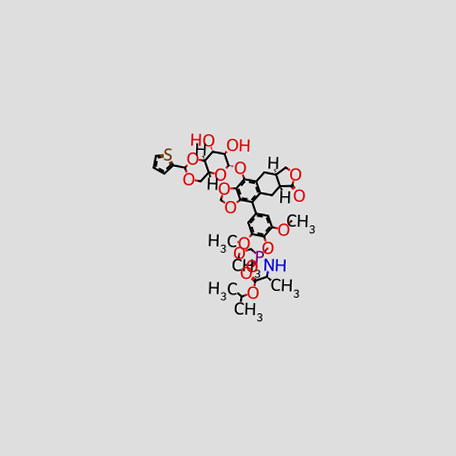 COCP(=O)(N[C@@H](C)C(=O)OC(C)C)Oc1c(OC)cc(-c2c3c(c(O[C@@H]4O[C@@H]5COC(c6cccs6)O[C@H]5[C@H](O)[C@H]4O)c4c2OCO4)C[C@H]2COC(=O)[C@@H]2C3)cc1OC